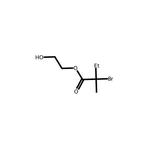 CCC(C)(Br)C(=O)OCCO